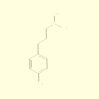 Cc1ccc(CCCN(C)C)cc1